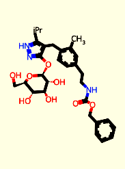 Cc1cc(CCNC(=O)OCc2ccccc2)ccc1Cc1c(O[C@@H]2O[C@H](CO)[C@@H](O)[C@H](O)[C@H]2O)n[nH]c1C(C)C